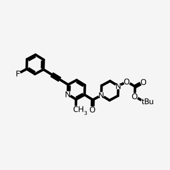 Cc1nc(C#Cc2cccc(F)c2)ccc1C(=O)N1CCN(OC(=O)OC(C)(C)C)CC1